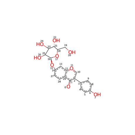 O=c1c(-c2ccc(O)cc2)coc2cc(O[C@@H]3OC(CO)[C@@H](O)C(O)C3O)ccc12